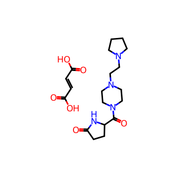 O=C(O)C=CC(=O)O.O=C1CCC(C(=O)N2CCN(CCN3CCCC3)CC2)N1